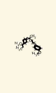 CCC(C)c1ccc(OC(C)OCCSc2ccc(OC)cc2)cc1